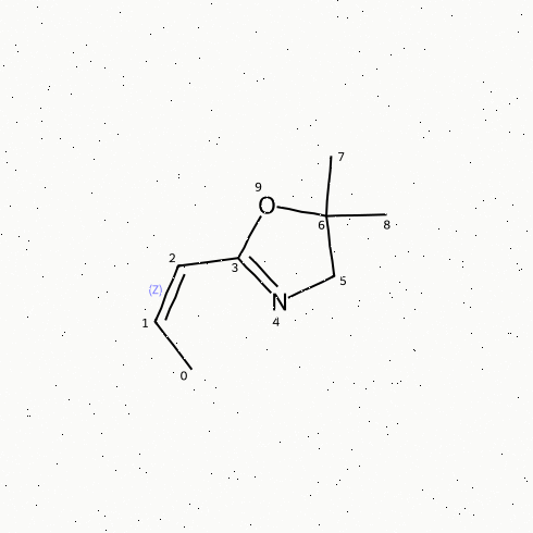 C/C=C\C1=NCC(C)(C)O1